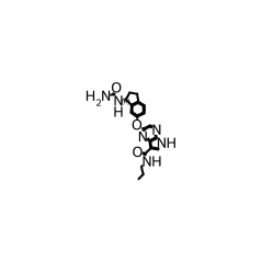 CCCNC(=O)c1c[nH]c2ncc(Oc3ccc4c(c3)[C@H](NC(N)=O)CC4)nc12